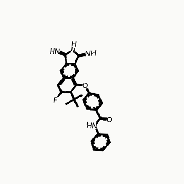 CC(C)(C)C1C(Oc2ccc(C(=O)Nc3ccccc3)cc2)=c2cc3c(cc2=CC1F)C(=N)NC3=N